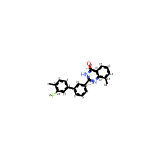 Cc1ccc(-c2cccc(-c3nc4c(C)cccc4c(=O)[nH]3)c2)cc1F